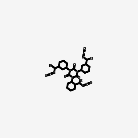 CCC(N=C=O)C1CCCC(n2c(=O)n(C3CCCC(C(CC)N=C=O)C3)c(=O)n(C3CCCCC3C(CC)N=C=O)c2=O)C1